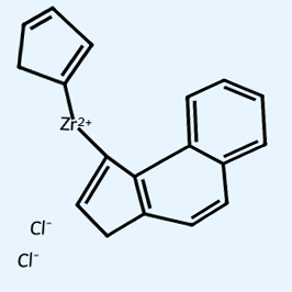 C1=CC[C]([Zr+2][C]2=CCc3ccc4ccccc4c32)=C1.[Cl-].[Cl-]